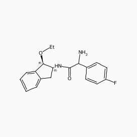 CCO[C@@H]1c2ccccc2C[C@H]1NC(=O)C(N)c1ccc(F)cc1